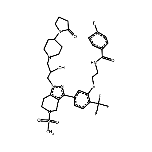 CS(=O)(=O)N1CCc2c(c(-c3ccc(C(F)(F)F)c(SCCNC(=O)c4ccc(F)cc4)c3)nn2CC(O)CN2CCC(N3CCCC3=O)CC2)C1